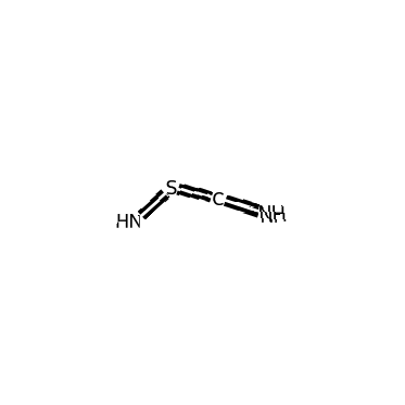 N=C=S=N